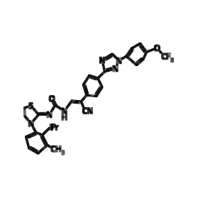 Cc1cccc(N2CCS/C2=N\C(=O)N/C=C(\C#N)c2ccc(-c3ncn(-c4ccc(OC(F)(F)F)cc4)n3)cc2)c1C(C)C